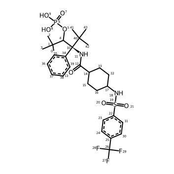 CC(C)(C)C(OP(=O)(O)O)[C@@](NC(=O)C1CCC(NS(=O)(=O)c2ccc(C(F)(F)F)cc2)CC1)(c1ccccc1)C(C)(C)C